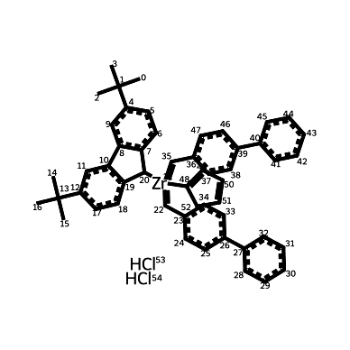 CC(C)(C)c1ccc2c(c1)-c1cc(C(C)(C)C)ccc1[CH]2[Zr](=[CH]c1ccc(-c2ccccc2)cc1)(=[CH]c1ccc(-c2ccccc2)cc1)[C]1=CC=CC1.Cl.Cl